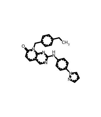 CCc1ccc(Cn2c(=O)ccc3cnc(Nc4ccc(-n5cccn5)cc4)nc32)cc1